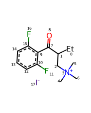 CCC(C[N+](C)(C)C)C(=O)c1c(F)cccc1F.[I-]